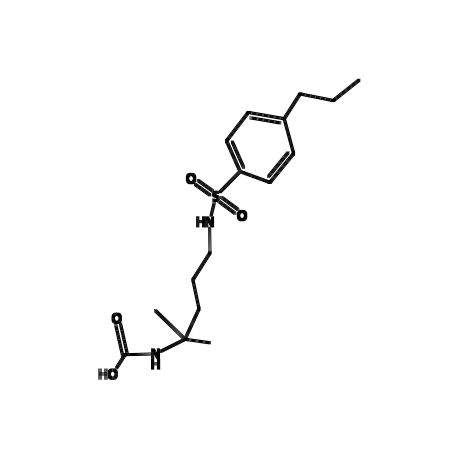 CCCc1ccc(S(=O)(=O)NCCCC(C)(C)NC(=O)O)cc1